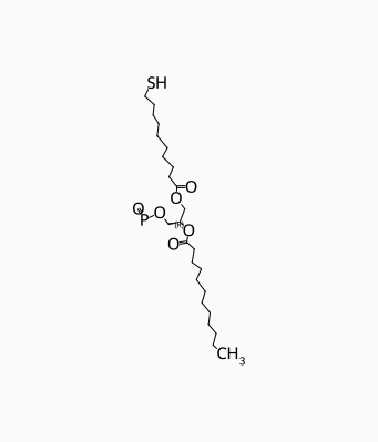 CCCCCCCCCCCC(=O)O[C@@H](COP=O)COC(=O)CCCCCCCCCS